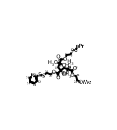 CCCSSCCOC(=O)C(C)(C)CC(C)(CC(C)(CC)C(=O)OCCOC)C(=O)OCCSSc1ccccn1